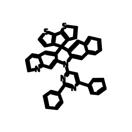 c1ccc(-c2cc(N3c4cc5ccccc5cc4C4(c5cc6cccnc6cc53)c3ccsc3-c3sccc34)nc(-c3ccccc3)n2)cc1